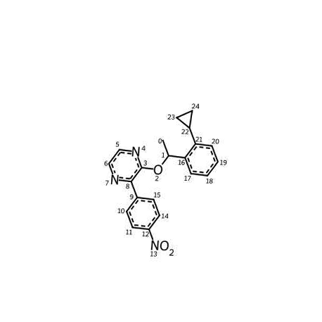 CC(Oc1nccnc1-c1ccc([N+](=O)[O-])cc1)c1ccccc1C1CC1